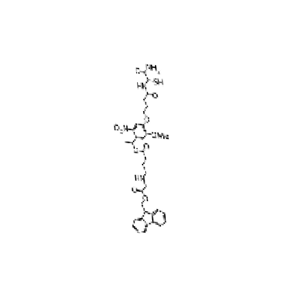 COc1cc(C(C)OC(=O)CCCNCC(=O)OCC2c3ccccc3-c3ccccc32)c([N+](=O)[O-])cc1OCCCC(=O)NC(S)C(N)=O